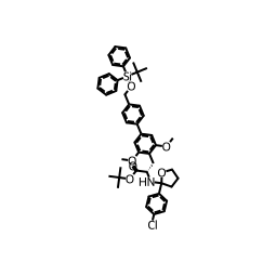 COc1cc(-c2ccc(CO[Si](c3ccccc3)(c3ccccc3)C(C)(C)C)cc2)cc(OC)c1C[C@H](NC1(c2ccc(Cl)cc2)CCCO1)C(=O)OC(C)(C)C